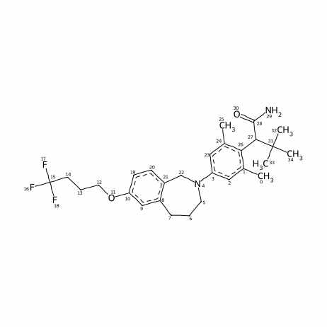 Cc1cc(N2CCCc3cc(OCCCC(F)(F)F)ccc3C2)cc(C)c1C(C(N)=O)C(C)(C)C